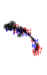 O=C(O)CCC(NC(=O)NC(CCCCNC(=O)CCCCCCC(=O)NCCCCC(NC(=O)C(Cc1ccccc1)NC(=O)C(Cc1ccccc1)NC(=O)CNC(=O)CNC(=O)CSC(c1ccccc1)(c1ccccc1)c1ccccc1)C(=O)O)C(=O)O)C(=O)O